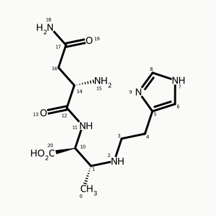 C[C@@H](NCCc1c[nH]cn1)[C@H](NC(=O)[C@@H](N)CC(N)=O)C(=O)O